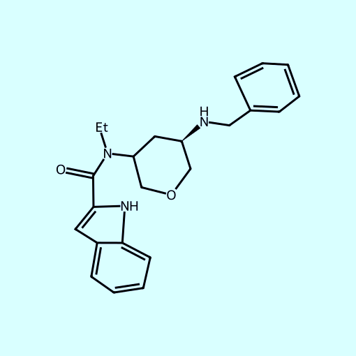 CCN(C(=O)c1cc2ccccc2[nH]1)C1COC[C@H](NCc2ccccc2)C1